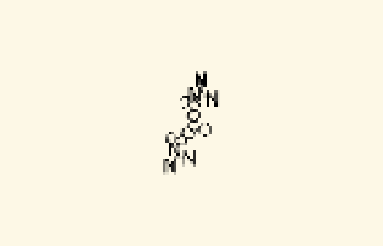 N#CC(C#N)=NC1=Cc2cc3c(cc2C12CCCCC2)-c1cc2c(cc1C31CCCCC1)C=C(N=C(C#N)C#N)C21CCCCC1